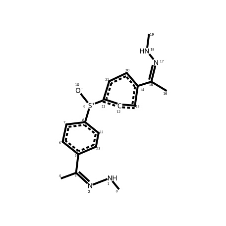 CN/N=C(/C)c1ccc([S+]([O-])c2ccc(/C(C)=N\NC)cc2)cc1